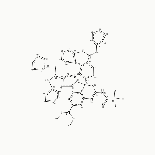 CCN(CC)c1ccc2c(c1)N=C(NC(=O)C(C)(C)C)SC2(c1ccc(N(Cc2ccccc2)Cc2ccccc2)cc1)c1ccc(N(Cc2ccccc2)Cc2ccccc2)cc1